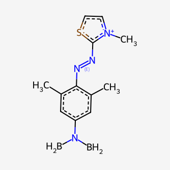 BN(B)c1cc(C)c(/N=N/c2scc[n+]2C)c(C)c1